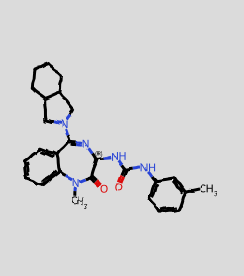 Cc1cccc(NC(=O)N[C@@H]2N=C(N3CC4CCCCC4C3)c3ccccc3N(C)C2=O)c1